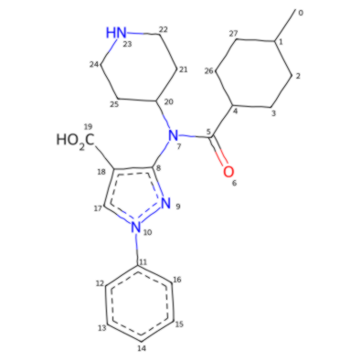 CC1CCC(C(=O)N(c2nn(-c3ccccc3)cc2C(=O)O)C2CCNCC2)CC1